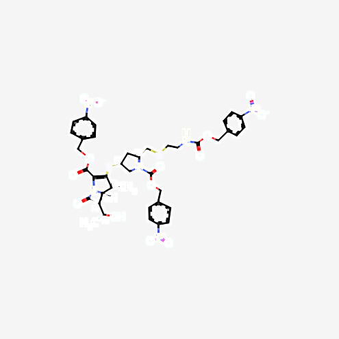 C[C@@H](O)[C@H]1C(=O)N2C(C(=O)OCc3ccc([N+](=O)[O-])cc3)=C(S[C@H]3C[C@@H](CSCCNC(=O)OCc4ccc([N+](=O)[O-])cc4)N(C(=O)OCc4ccc([N+](=O)[O-])cc4)C3)[C@H](C)[C@H]12